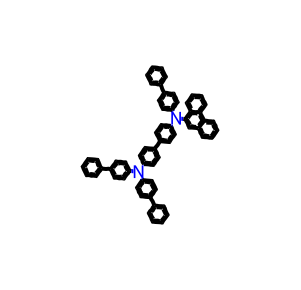 c1ccc(-c2ccc(N(c3ccc(-c4ccccc4)cc3)c3ccc(-c4ccc(N(c5ccc(-c6ccccc6)cc5)c5cc6ccccc6c6ccccc56)cc4)cc3)cc2)cc1